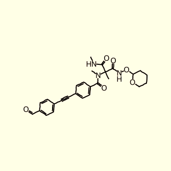 CNC(=O)C(C)(C(=O)NOC1CCCCO1)N(C)C(=O)c1ccc(C#Cc2ccc(C=O)cc2)cc1